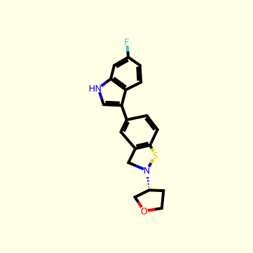 Fc1ccc2c(-c3ccc4c(c3)CN([C@@H]3CCOC3)S4)c[nH]c2c1